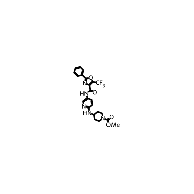 COC(=O)N1CCC(Nc2ccc(NC(=O)c3nc(-c4ccccc4)oc3C(F)(F)F)cn2)CC1